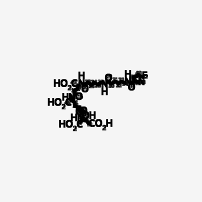 O=C(O)CC[C@H](NP(=O)(O)OCCC[C@H](NC(=O)CC[C@H](NC(=O)CCCCCNC(=O)CCCCCNC(=O)c1ccc(F)nc1)C(=O)O)C(=O)O)C(=O)O